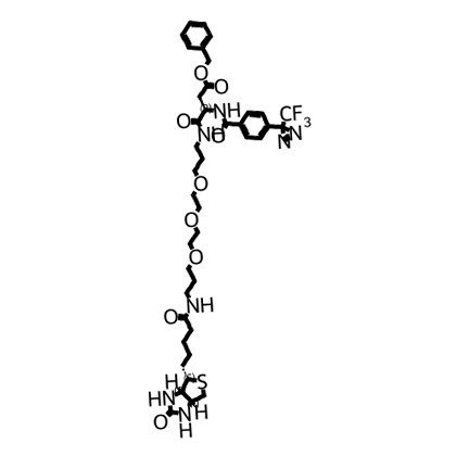 O=C(CCCC[C@@H]1SC[C@@H]2NC(=O)N[C@@H]21)NCCCOCCOCCOCCCNC(=O)[C@@H](CC(=O)OCc1ccccc1)NC(=O)c1ccc(C2(C(F)(F)F)N=N2)cc1